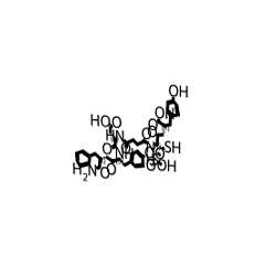 NC(=O)[C@@H](CC(=O)[C@H](Cc1ccc(OS(=O)(=O)O)cc1)NC(=O)[C@H](CC(=O)O)NC(=O)CCC(=O)N[C@@H](CS)C(=O)C[C@@H](Cc1ccc(O)cc1)C(=O)O)Cc1ccccc1